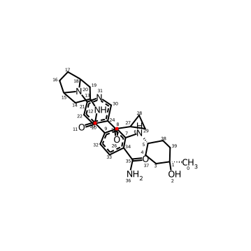 C[C@]1(O)CC[C@H](Nc2cc(C(=O)NC3CC4CCC(C3)N4c3ccc(C(=O)C4CC4)cn3)ccc2C(N)=O)CC1